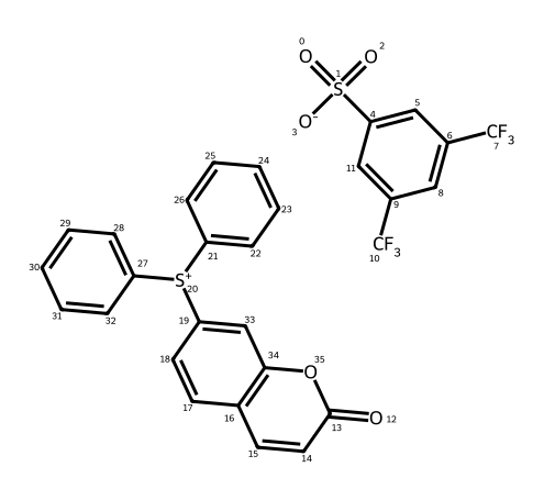 O=S(=O)([O-])c1cc(C(F)(F)F)cc(C(F)(F)F)c1.O=c1ccc2ccc([S+](c3ccccc3)c3ccccc3)cc2o1